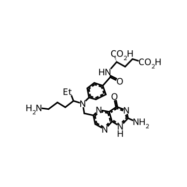 CCC(CCCN)N(Cc1cnc2[nH]c(N)nc(=O)c2n1)c1ccc(C(=O)N[C@@H](CCC(=O)O)C(=O)O)cc1